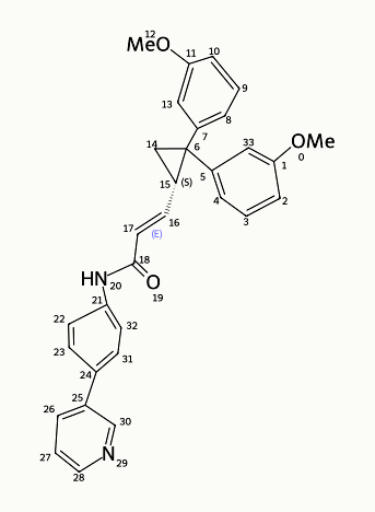 COc1cccc(C2(c3cccc(OC)c3)C[C@H]2/C=C/C(=O)Nc2ccc(-c3cccnc3)cc2)c1